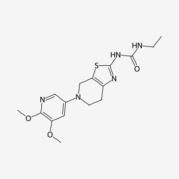 CCNC(=O)Nc1nc2c(s1)CN(c1cnc(OC)c(OC)c1)CC2